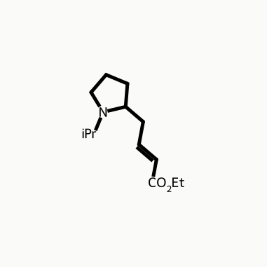 CCOC(=O)/C=C/CC1CCCN1C(C)C